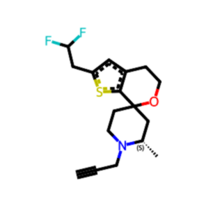 C#CCN1CCC2(C[C@@H]1C)OCCc1cc(CC(F)F)sc12